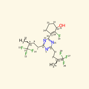 C[C@@H](CCc1nc(CC[C@H](C)C(F)(F)F)nc(C2=C(F)C(O)CCC2)n1)C(F)(F)F